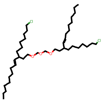 CCCCCCCCC=CC(CCCCCCCCl)CCOCOCOCCC(C=CCCCCCCCC)CCCCCCCCl